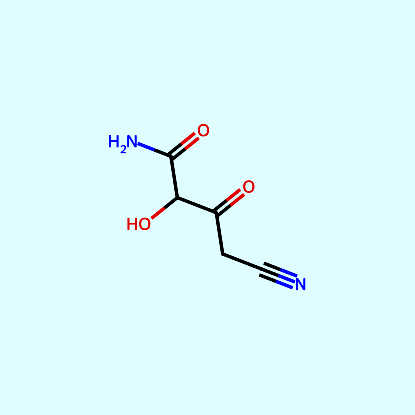 N#CCC(=O)C(O)C(N)=O